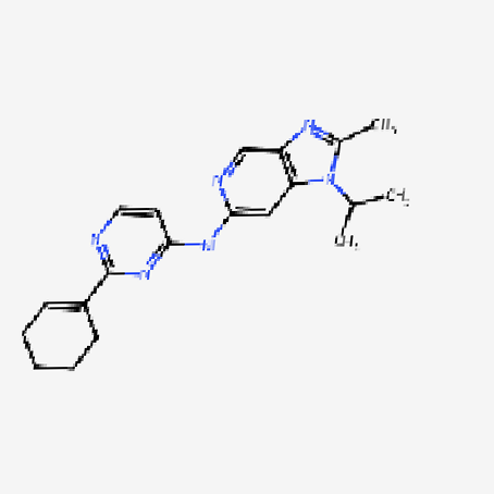 Cc1nc2cnc(Nc3ccnc(C4=CCCCC4)n3)cc2n1C(C)C